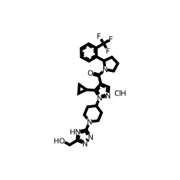 Cl.O=C(c1cnn(C2CCN(c3nnc(CO)[nH]3)CC2)c1C1CC1)N1CCCC1c1ccccc1C(F)(F)F